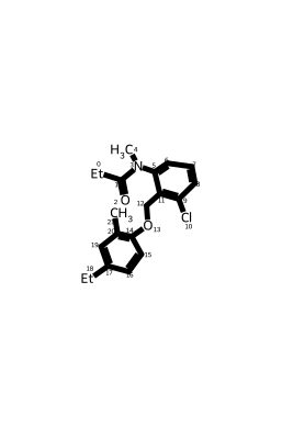 CCC(=O)N(C)c1cccc(Cl)c1COc1ccc(CC)cc1C